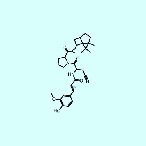 COc1cc(/C=C/C(=O)NC(CC#N)C(=O)N2CCCC2C(=O)OC2CC3CCC4(C)C(C)(C)C324)ccc1O